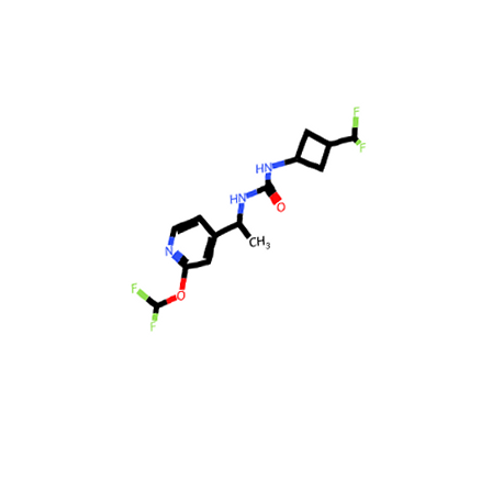 CC(NC(=O)NC1CC(C(F)F)C1)c1ccnc(OC(F)F)c1